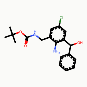 CC(C)(C)OC(=O)NCc1cc(Cl)cc(C(O)c2ccccc2)c1N